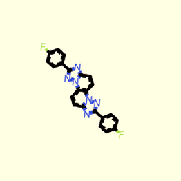 Fc1ccc(-c2nc3ccc4c(ccc5nc(-c6ccc(F)cc6)nn54)n3n2)cc1